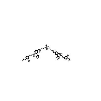 CC(C)Cc1ccc(CCCNc2ccc(CNCCCO[PH](=O)OCCCNCc3ccc(NCCCc4ccc(CC(C)C)c(Br)c4)c(-c4ccoc4)c3)cc2-c2ccoc2)cc1Br